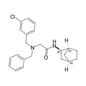 O=C(CN(Cc1ccccc1)Cc1cccc(Cl)c1)N[C@@H]1C[C@@H]2CC[C@H]1C2